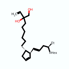 C=CC(O)(CO)CCCCCC[C@H]1CC=C[C@@H]1C=CC[C@@H](CC)CCCCCC